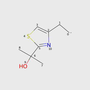 [CH2]Cc1csc(C(C)(C)O)n1